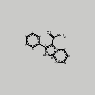 NC(=O)c1c(-c2ccccc2)nc2n[c]ccn12